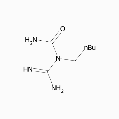 CCCCCN(C(=N)N)C(N)=O